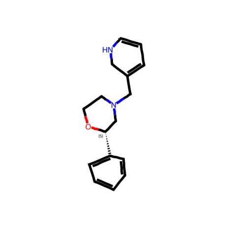 [C]1=CC=C(CN2CCO[C@@H](c3ccccc3)C2)CN1